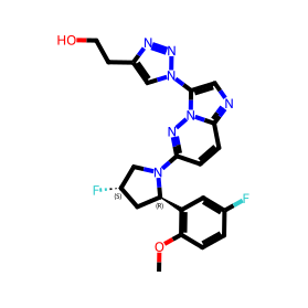 COc1ccc(F)cc1[C@H]1C[C@H](F)CN1c1ccc2ncc(-n3cc(CCO)nn3)n2n1